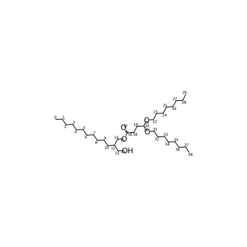 C[CH]CCCCCCCCCC(CO)COC(=O)CCC(OCCCCCCCC)OCCCCCCCC